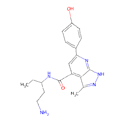 CCC(CCN)NC(=O)c1cc(-c2ccc(O)cc2)nc2[nH]nc(C)c12